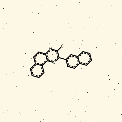 Clc1nc2ccc3ccccc3c2nc1-c1ccc2ccccc2c1